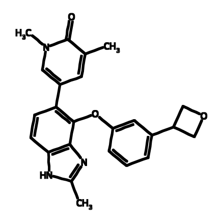 Cc1nc2c(Oc3cccc(C4COC4)c3)c(-c3cc(C)c(=O)n(C)c3)ccc2[nH]1